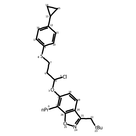 CCCc1c(OC(Cl)CCSc2ccc(C3CC3)cc2)ccc2c(CC(C)(C)C)noc12